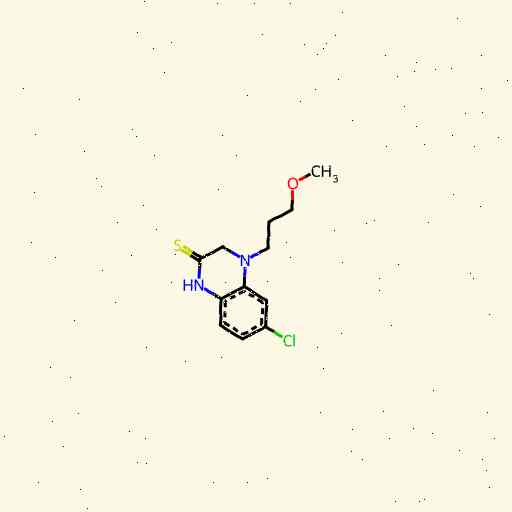 COCCCN1CC(=S)Nc2ccc(Cl)cc21